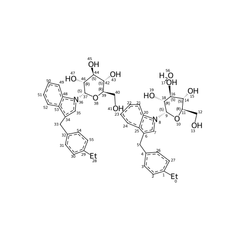 CCc1ccc(Cc2cn([C@H]3O[C@H](CO)[C@@H](O)[C@H](O)[C@H]3O)c3ccccc23)cc1.CCc1ccc(Cc2cn([C@H]3O[C@H](CO)[C@@H](O)[C@H](O)[C@H]3O)c3ccccc23)cc1.O